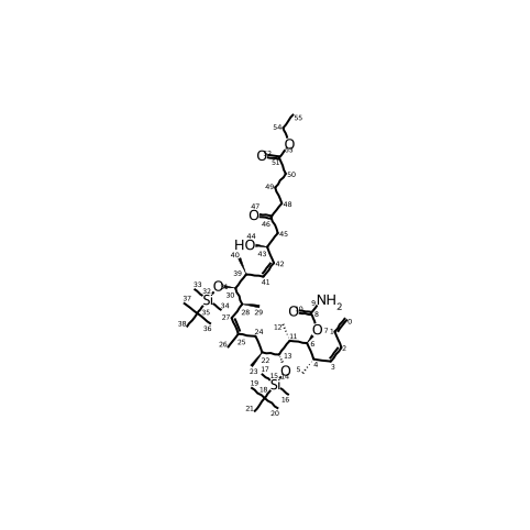 C=C/C=C\[C@H](C)[C@H](OC(N)=O)[C@@H](C)[C@H](O[Si](C)(C)C(C)(C)C)[C@@H](C)C/C(C)=C\[C@H](C)[C@@H](O[Si](C)(C)C(C)(C)C)[C@@H](C)/C=C\[C@@H](O)CC(=O)CCCC(=O)OCC